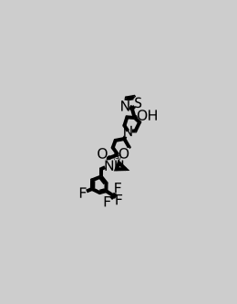 O=C(NCc1cc(F)cc(C(F)(F)F)c1)[C@@]1(C2CC2)CCC(N2CCC(O)(c3nccs3)CC2)CO1